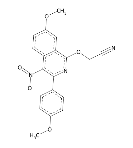 COc1ccc(-c2nc(OCC#N)c3cc(OC)ccc3c2[N+](=O)[O-])cc1